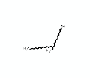 CCCCCCCCCCC=CC(CC)CCCCCCCCCCCCC